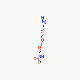 CCC(=O)NCCOCCOCCOCCN=[N+]=[N-]